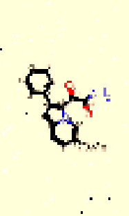 COc1ccc2cc(-c3ccccc3)c(C(=O)C(N)=O)n2c1